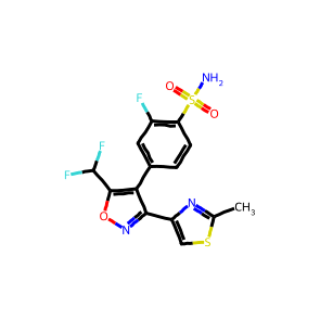 Cc1nc(-c2noc(C(F)F)c2-c2ccc(S(N)(=O)=O)c(F)c2)cs1